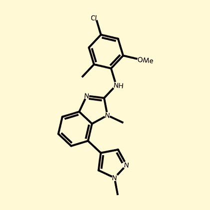 COc1cc(Cl)cc(C)c1Nc1nc2cccc(-c3cnn(C)c3)c2n1C